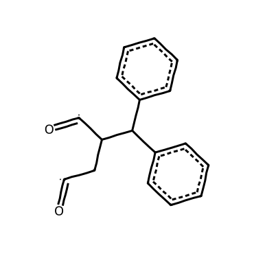 O=[C]CC([C]=O)C(c1ccccc1)c1ccccc1